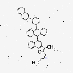 C=C/C=C\c1oc2c(cc(-c3c4ccccc4c(-c4cccc(-c5ccc6ccccc6c5)c4)c4ccccc34)c3ccccc32)c1C